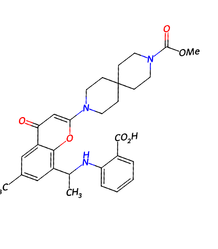 COC(=O)N1CCC2(CC1)CCN(c1cc(=O)c3cc(C)cc(C(C)Nc4ccccc4C(=O)O)c3o1)CC2